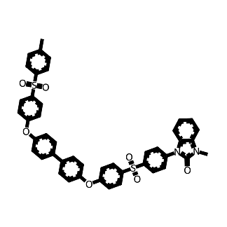 Cc1ccc(S(=O)(=O)c2ccc(Oc3ccc(-c4ccc(Oc5ccc(S(=O)(=O)c6ccc(-n7c(=O)n(C)c8ccccc87)cc6)cc5)cc4)cc3)cc2)cc1